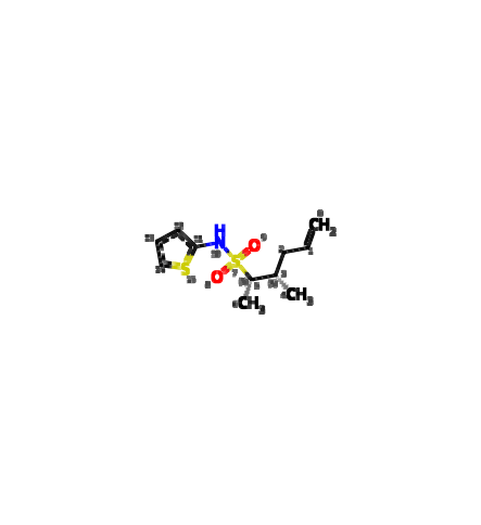 C=CC[C@H](C)[C@H](C)S(=O)(=O)Nc1cccs1